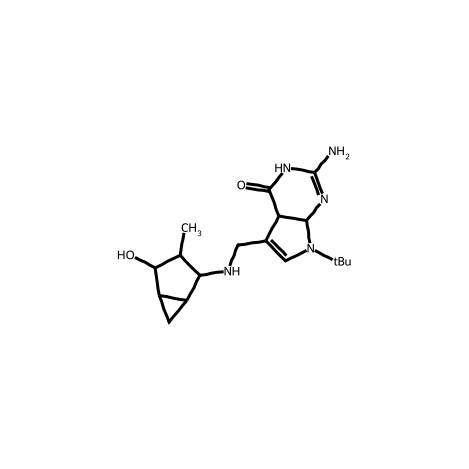 CC1C(O)C2CC2C1NCC1=CN(C(C)(C)C)C2N=C(N)NC(=O)C12